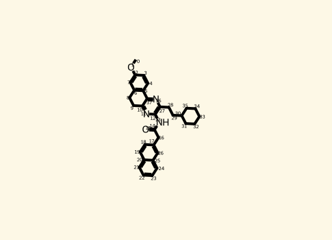 COc1ccc2c(c1)CCc1nc(NC(=O)Cc3ccc4ccccc4c3)c(CCC3CCCCC3)nc1-2